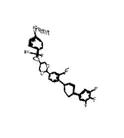 CCCCCc1ccc(C(F)(F)OC2COC(c3ccc(C4CCC(c5cc(F)c(F)c(F)c5)CC4)c(F)c3)OC2)cc1